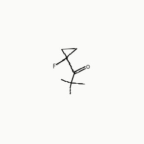 CC(C)(C)C(=O)C1(F)CC1